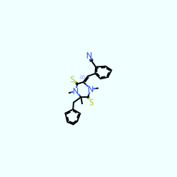 CN1C(=S)C(C)(Cc2ccccc2)N(C)C(=S)/C1=C/c1ccccc1C#N